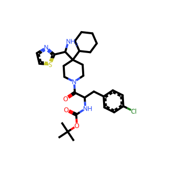 CC(C)(C)OC(=O)NC(Cc1ccc(Cl)cc1)C(=O)N1CCC(C2CCCCC2)(C(N)c2nccs2)CC1